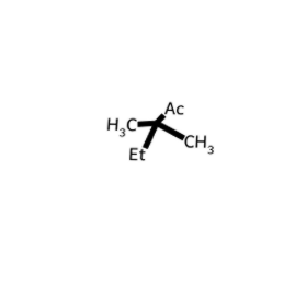 CCC(C)(C)C(C)=O